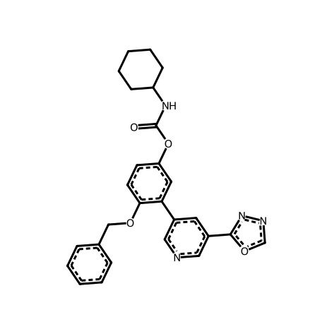 O=C(NC1CCCCC1)Oc1ccc(OCc2ccccc2)c(-c2cncc(-c3nnco3)c2)c1